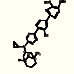 COc1ncc(-c2ccc(-c3ncc(N(C4CC4)[C@@H]4C[C@H]5CCC[C@@](C)(C4)N5)nn3)c(O)c2)nc1OC